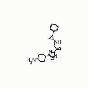 N[C@H]1CC[C@H](c2nc(C3(CN[C@@H]4C[C@H]4c4ccccc4)CC3)no2)CC1